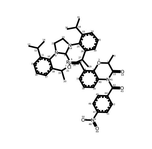 CC1Oc2c([CH]=[Ru]([Cl])[CH]3N(c4c(C(C)C)cccc4C(C)C)CCN3c3c(C(C)C)cccc3C(C)C)cccc2N(C(=O)c2ccc([N+](=O)[O-])cc2)C1=O